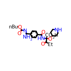 CCCCOC(=O)/N=C(\N)c1ccc(C(=O)NC(OC2CCNCC2)(C(=O)O)C(=O)CC)cc1